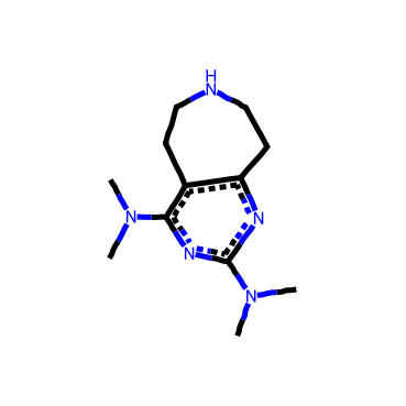 CN(C)c1nc2c(c(N(C)C)n1)CCNCC2